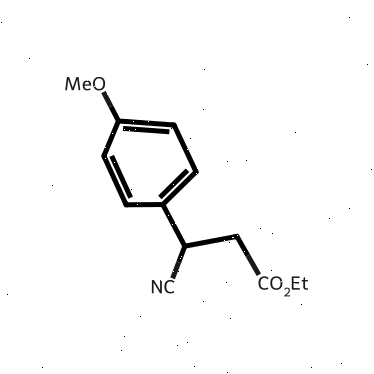 CCOC(=O)CC(C#N)c1ccc(OC)cc1